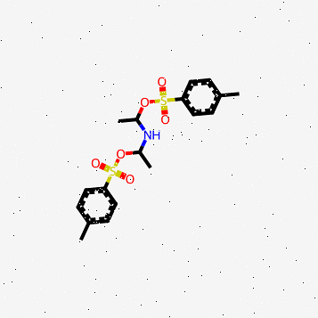 Cc1ccc(S(=O)(=O)OC(C)NC(C)OS(=O)(=O)c2ccc(C)cc2)cc1